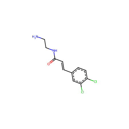 NCCNC(=O)C=Cc1ccc(Cl)c(Cl)c1